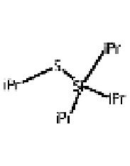 CC(C)S[Si](C(C)C)(C(C)C)C(C)C